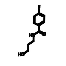 O=C(NCCCO)c1ccc(F)cc1